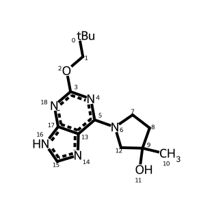 CC(C)(C)COc1nc(N2CCC(C)(O)C2)c2nc[nH]c2n1